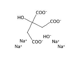 O=C([O-])CC(O)(CC(=O)[O-])C(=O)[O-].[Na+].[Na+].[Na+].[Na+].[OH-]